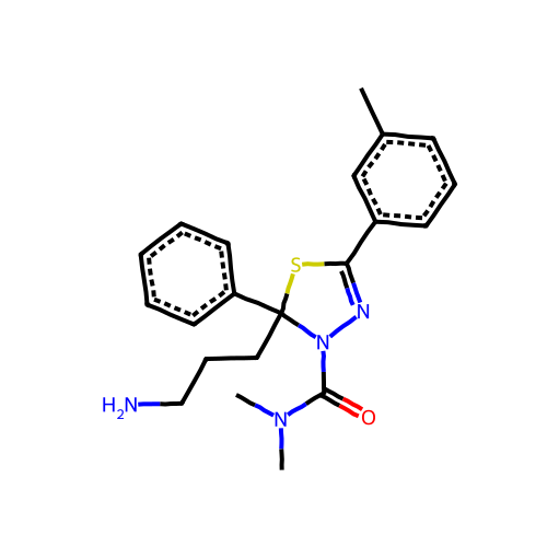 Cc1cccc(C2=NN(C(=O)N(C)C)C(CCCN)(c3ccccc3)S2)c1